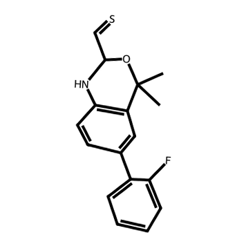 CC1(C)OC(C=S)Nc2ccc(-c3ccccc3F)cc21